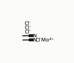 CC#N.CC#N.[Cl-].[Cl-].[Cl-].[Cl-].[Mo+4]